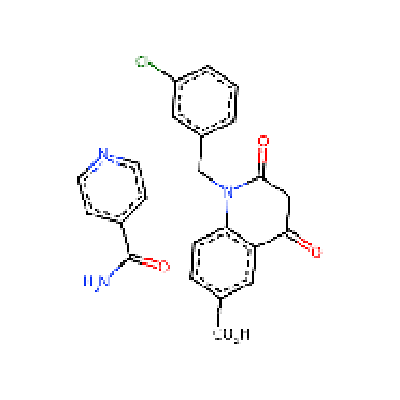 NC(=O)c1ccncc1.O=C(O)c1ccc2c(c1)C(=O)CC(=O)N2Cc1cccc(Cl)c1